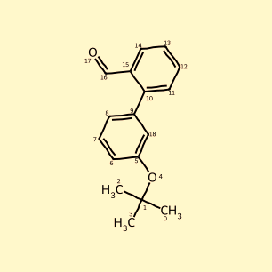 CC(C)(C)Oc1cccc(-c2ccccc2C=O)c1